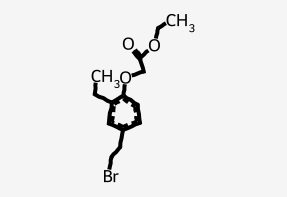 CCOC(=O)COc1ccc(CCBr)cc1CC